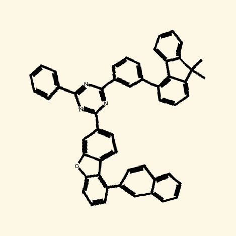 CC1(C)c2ccccc2-c2c(-c3cccc(-c4nc(-c5ccccc5)nc(-c5ccc6c(c5)oc5cccc(-c7ccc8ccccc8c7)c56)n4)c3)cccc21